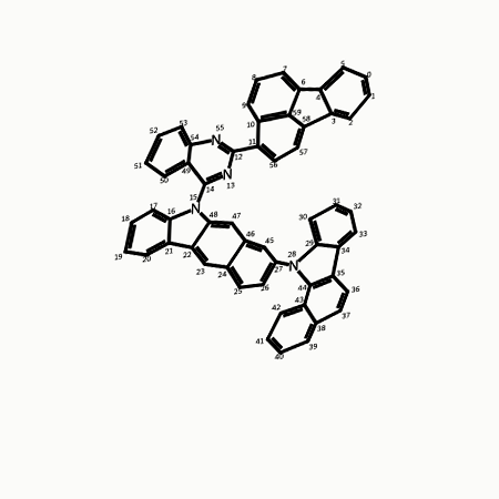 c1ccc2c(c1)-c1cccc3c(-c4nc(-n5c6ccccc6c6cc7ccc(-n8c9ccccc9c9ccc%10ccccc%10c98)cc7cc65)c5ccccc5n4)ccc-2c13